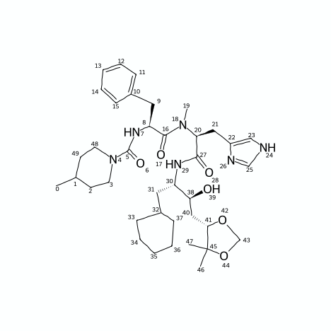 CC1CCN(C(=O)N[C@@H](Cc2ccccc2)C(=O)N(C)[C@@H](Cc2c[nH]cn2)C(=O)N[C@@H](CC2CCCCC2)[C@@H](O)C[C@@H]2OCOC2(C)C)CC1